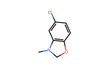 CN1COc2ccc(Cl)cc21